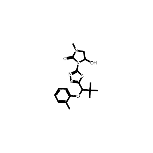 Cc1ccccc1OC(c1nnc(N2C(=O)N(C)CC2O)s1)C(C)(C)C